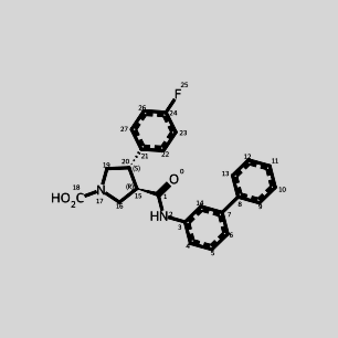 O=C(Nc1cccc(-c2ccccc2)c1)[C@H]1CN(C(=O)O)C[C@@H]1c1ccc(F)cc1